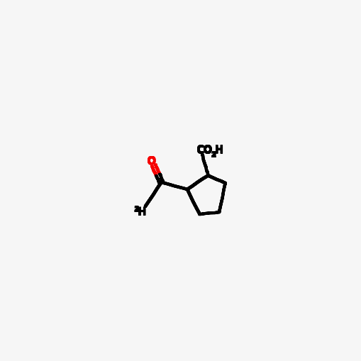 [2H]C(=O)C1CCCC1C(=O)O